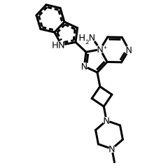 CN1CCN(C2CC(C3=C4C=NC=C[N+]4(N)C(c4cc5ccccc5[nH]4)=N3)C2)CC1